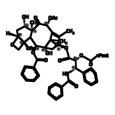 CCCCCC(=O)O[C@@H](C(=O)O[C@H]1C[C@@]2(O)[C@@H](OC(=O)c3ccccc3)C3[C@](C)(C(=O)[C@H](OC(C)=O)C(=C1C)C2(C)C)[C@@H](O)C[C@H]1OC[C@@]31OC(C)=O)[C@@H](NC(=O)c1ccccc1)c1ccccc1